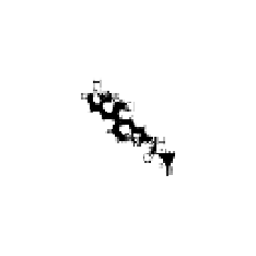 O=C(Nc1cc2cc(-c3cc4cc[nH]c4nc3Cl)ccn2n1)[C@@H]1C[C@@H]1F